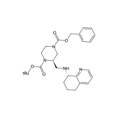 CC(C)(C)OC(=O)N1CCN(C(=O)OCc2ccccc2)C[C@H]1CN[C@H]1CCCc2cccnc21